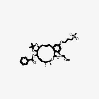 COCOc1cc(OCCCS(C)(=O)=O)cc2c1C(=O)O[C@@H](C)[C@H](C)/C=C\C(OC(=O)c1ccccc1)C1OC(C)(C)OC1C/C=C/2